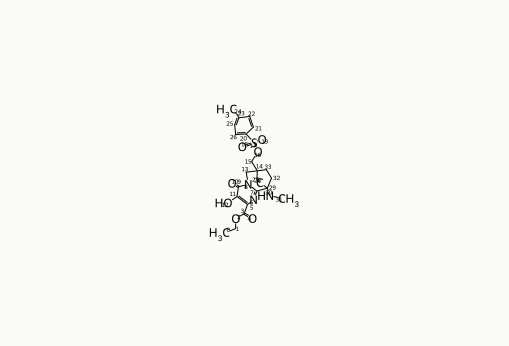 CCOC(=O)c1nc2n(c(=O)c1O)CC1(COS(=O)(=O)c3ccc(C)cc3)CCC2(NC)CC1